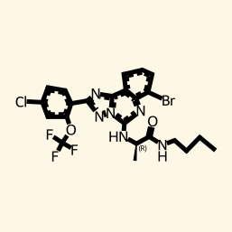 CCCCNC(=O)[C@@H](C)Nc1nc2c(Br)cccc2c2nc(-c3ccc(Cl)cc3OC(F)(F)F)nn12